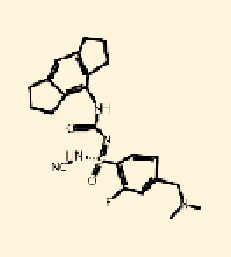 CN(C)Cc1ccc([S@@](=O)(=NC(=O)Nc2c3c(cc4c2CCC4)CCC3)NC#N)c(F)c1